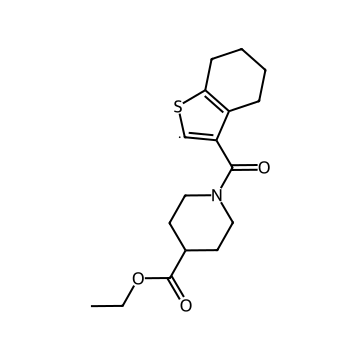 CCOC(=O)C1CCN(C(=O)c2[c]sc3c2CCCC3)CC1